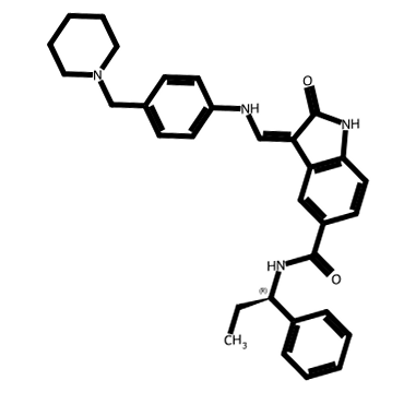 CC[C@@H](NC(=O)c1ccc2c(c1)C(=CNc1ccc(CN3CCCCC3)cc1)C(=O)N2)c1ccccc1